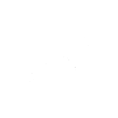 CC(C)(C)C(=O)OCC[C@H](O)[C@@H](O)c1ccccc1